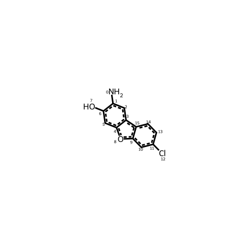 Nc1cc2c(cc1O)oc1cc(Cl)ccc12